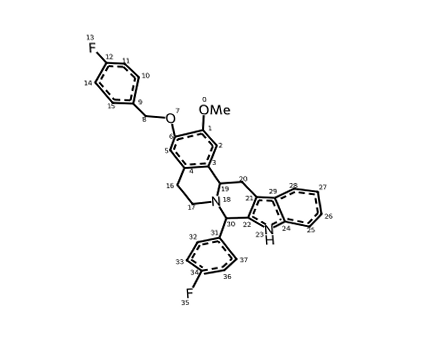 COc1cc2c(cc1OCc1ccc(F)cc1)CCN1C2Cc2c([nH]c3ccccc23)C1c1ccc(F)cc1